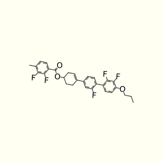 CCCOc1ccc(-c2ccc(C3=CCC(OC(=O)c4ccc(C)c(F)c4F)CC3)cc2F)c(F)c1F